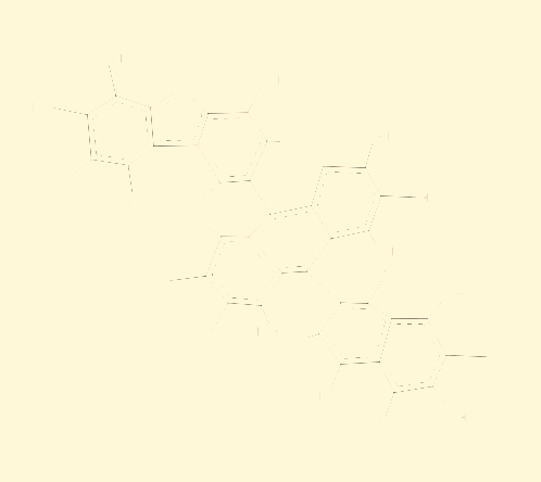 Oc1c(O)c(O)c2c(oc3c(O)c(O)c(-c4c5c(O)c(O)c(O)c(O)c5c(-c5c(O)c(O)c6c(O)c(O)c(O)c(O)c6c5O)c5c(O)c(O)c(O)c(O)c45)c(O)c32)c1O